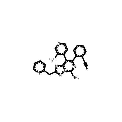 Cc1cnccc1-c1c(-c2ccccc2C#N)nc(N)n2nc(Cc3ccccn3)nc12